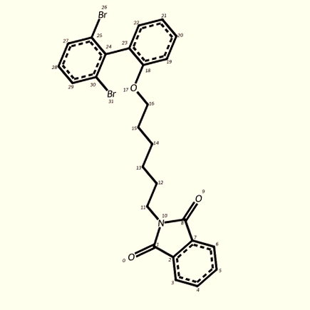 O=C1c2ccccc2C(=O)N1CCCCCCOc1ccccc1-c1c(Br)cccc1Br